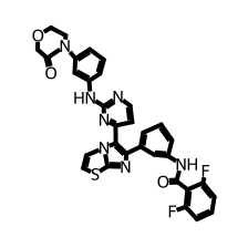 O=C(Nc1cccc(-c2nc3sccn3c2-c2ccnc(Nc3cccc(N4CCOCC4=O)c3)n2)c1)c1c(F)cccc1F